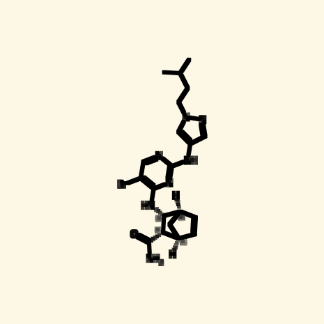 CC(C)CCn1cc(Nc2ncc(Br)c(N[C@H]3[C@@H](C(N)=O)[C@@H]4C=C[C@H]3C4)n2)cn1